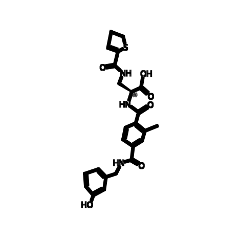 Cc1cc(C(=O)NCc2cccc(O)c2)ccc1C(=O)N[C@@H](CNC(=O)C1=CCCS1)C(=O)O